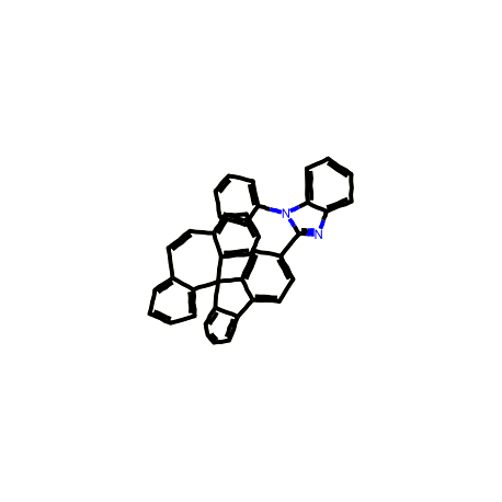 C1=Cc2ccccc2C2(c3ccccc31)c1ccccc1-c1ccc(-c3nc4ccccc4n3-c3ccccc3)cc12